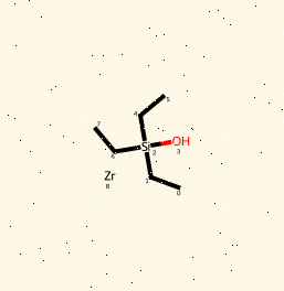 CC[Si](O)(CC)CC.[Zr]